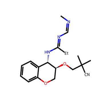 CC/C(=N\C=N/C)N[C@H]1c2ccccc2OC[C@@H]1OCC(C)(C)C#N